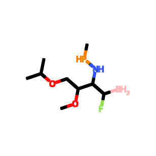 BC(F)C(NPC)C(COC(C)C)OC